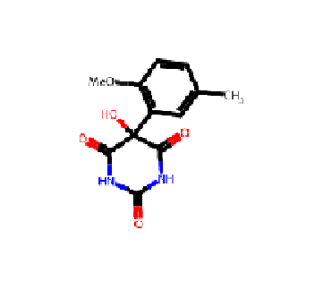 COc1ccc(C)cc1C1(O)C(=O)NC(=O)NC1=O